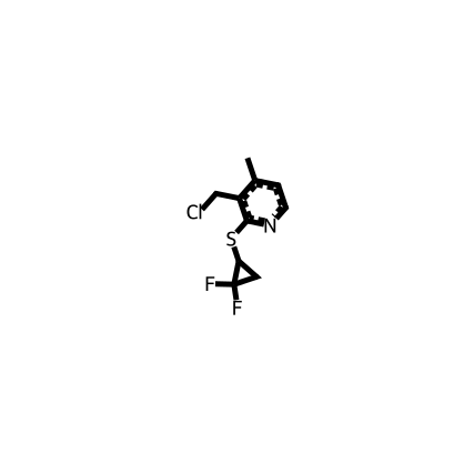 Cc1ccnc(SC2CC2(F)F)c1CCl